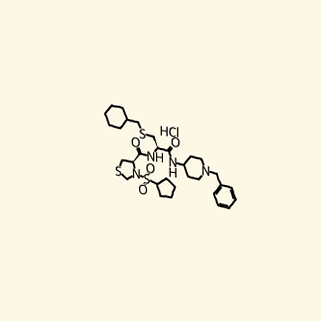 Cl.O=C(NC1CCN(Cc2ccccc2)CC1)[C@H](CSCC1CCCCC1)NC(=O)[C@@H]1CSCN1S(=O)(=O)C1CCCC1